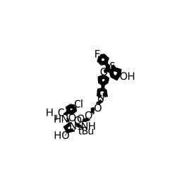 C[C@H](NC(=O)[C@@H]1C[C@@H](O)CN1C(=O)C(NC(=O)COCCOCCN1CCC(c2ccc(Oc3c(-c4ccc(F)cc4)sc4cc(O)ccc34)cc2)CC1)C(C)(C)C)c1ccc(Cl)cc1